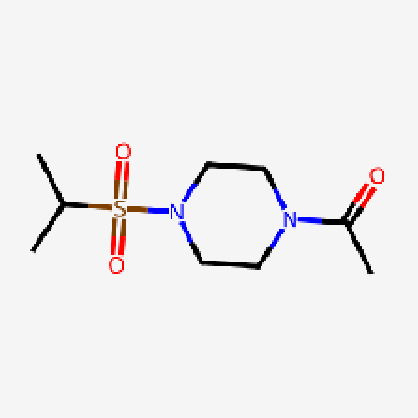 CC(=O)N1CCN(S(=O)(=O)C(C)C)CC1